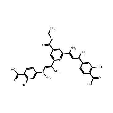 CCOC(=O)c1cc(/C(N)=C/N(N)c2ccc(C(=O)O)c(O)c2)nc(/C(N)=C/N(N)c2ccc(C(=O)O)c(O)c2)c1